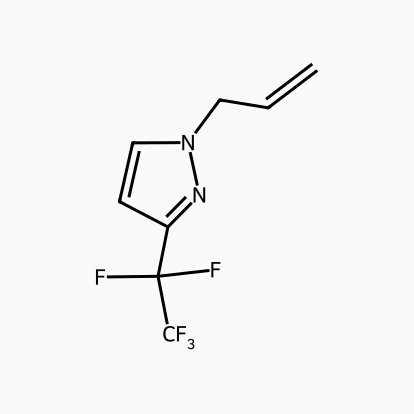 C=CCn1ccc(C(F)(F)C(F)(F)F)n1